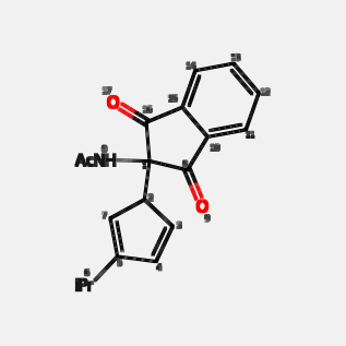 CC(=O)NC1(C2C=CC(C(C)C)=C2)C(=O)c2ccccc2C1=O